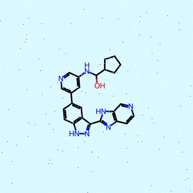 OC(Nc1cncc(-c2ccc3[nH]nc(-c4nc5ccncc5[nH]4)c3c2)c1)C1CCCC1